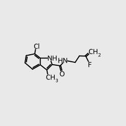 C=C(F)CCNC(=O)c1[nH]c2c(Cl)cccc2c1C